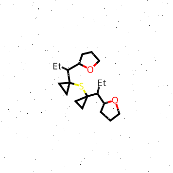 CCC(C1CCCO1)C1(SC2(C(CC)C3CCCO3)CC2)CC1